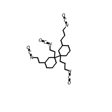 O=C=NCCCC1CCCC(CCCN=C=O)(C2(CCN=C=O)CCCC(CCN=C=O)C2)C1